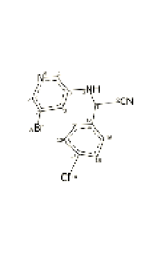 N#CC(Nc1cncc(Br)c1)c1ccc(Cl)cc1